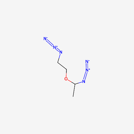 CC(N=[N+]=[N-])OCCN=[N+]=[N-]